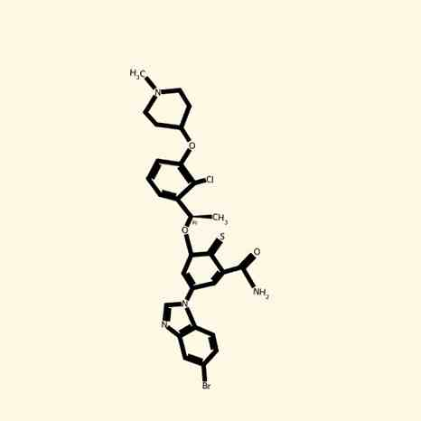 C[C@@H](OC1C=C(n2cnc3cc(Br)ccc32)C=C(C(N)=O)C1=S)c1cccc(OC2CCN(C)CC2)c1Cl